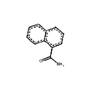 NC(=O)c1cccc2ccc[c]c12